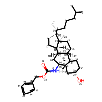 CC(C)CCC[C@@H](C)[C@H]1CC[C@H]2[C@@H]3C[C@H](NC(=O)OCc4ccccc4)[C@H]4C[C@@H](O)CC[C@]4(C)[C@H]3CC[C@]12C